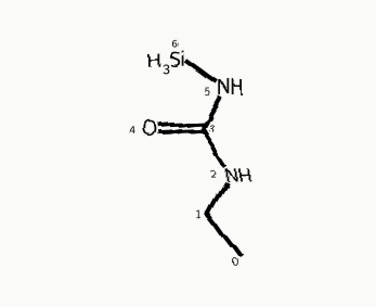 CCNC(=O)N[SiH3]